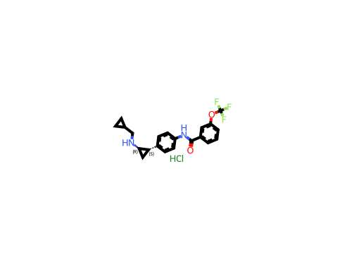 Cl.O=C(Nc1ccc([C@@H]2C[C@H]2NCC2CC2)cc1)c1cccc(OC(F)(F)F)c1